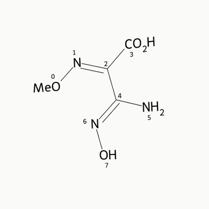 CON=C(C(=O)O)C(N)=NO